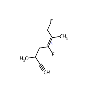 C#CC(C)C/C(F)=C(/C)CF